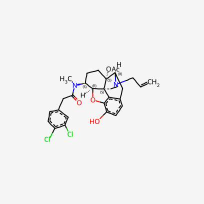 C=CCN1CC[C@]23c4c5ccc(O)c4O[C@H]2[C@@H](N(C)C(=O)Cc2ccc(Cl)c(Cl)c2)CC[C@@]3(OC(C)=O)[C@H]1C5